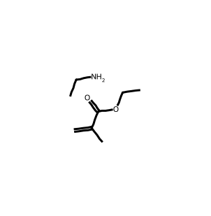 C=C(C)C(=O)OCC.CCN